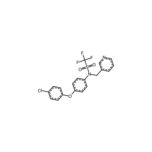 O=S(=O)(N(Cc1cccnc1)c1ccc(Oc2ccc(Cl)cc2)cc1)C(F)(F)F